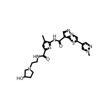 Cc1cc(C(=O)NCCN2CCC(O)C2)sc1NC(=O)c1cnn2cc(-c3cnn(C)c3)sc12